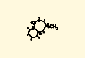 CN1C[C]Oc2ccccc2C1